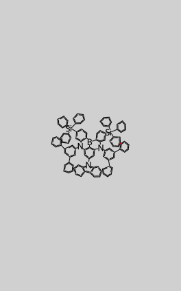 c1ccc(-c2cc(-c3ccccc3)cc(N3c4cc([Si](c5ccccc5)(c5ccccc5)c5ccccc5)ccc4B4c5ccc([Si](c6ccccc6)(c6ccccc6)c6ccccc6)cc5N(c5cc(-c6ccccc6)cc(-c6ccccc6)c5)c5cc(-n6c7ccccc7c7ccccc76)cc3c54)c2)cc1